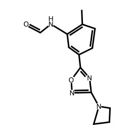 Cc1ccc(-c2nc(N3CCC3)no2)cc1NC=O